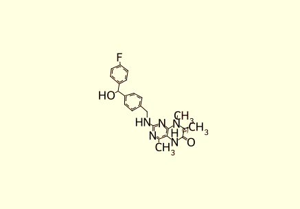 Cc1nc(NCc2ccc(C(O)c3ccc(F)cc3)cc2)nc2c1NC(=O)[C@H](C)N2C